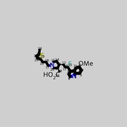 COc1ccc2nccc([C@H](F)CC[C@@H]3CCN(CCCc4ccc(C)s4)C[C@@H]3CC(=O)O)c2c1